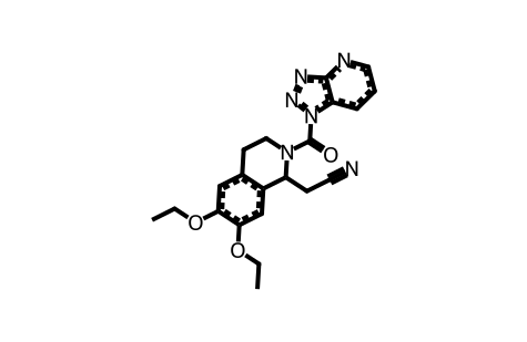 CCOc1cc2c(cc1OCC)C(CC#N)N(C(=O)n1nnc3ncccc31)CC2